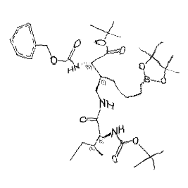 CC[C@H](C)[C@H](NC(=O)OC(C)(C)C)C(=O)NC[C@H](CCCB1OC(C)(C)C(C)(C)O1)[C@H](NC(=O)OCc1ccccc1)C(=O)OC(C)(C)C